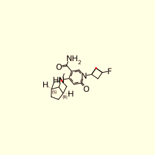 CN1C[C@H]2CC[C@@H](C1)C2Nc1cc(=O)n(C23CC(F)(C2)C3)cc1C(N)=O